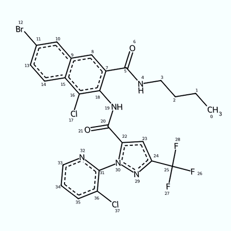 CCCCNC(=O)c1cc2cc(Br)ccc2c(Cl)c1NC(=O)c1cc(C(F)(F)F)nn1-c1ncccc1Cl